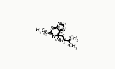 C=C(C)CCC1(N)N=C(SC)N=C2N=CN=C21